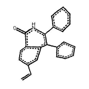 C=Cc1ccc2c(=O)[nH]c(-c3ccccc3)c(-c3ccccc3)c2c1